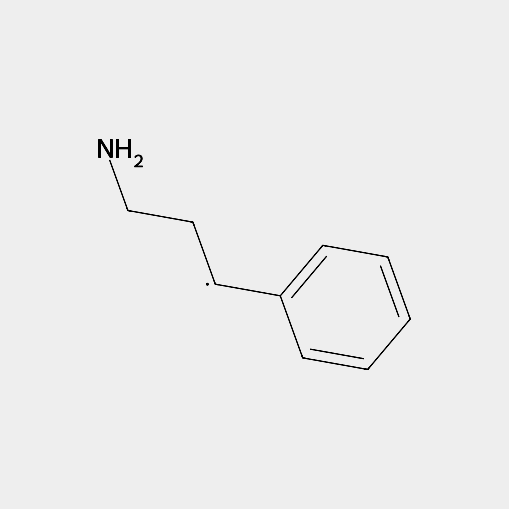 NCC[CH]c1ccccc1